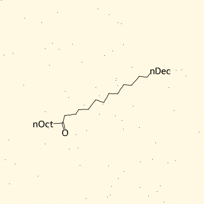 CCCCCCCCCCCCCCCCCCCCCCC(=O)CCCCCCCC